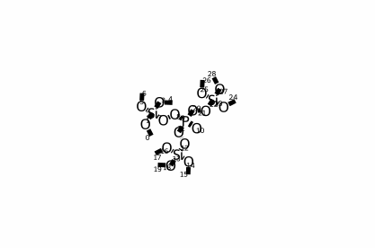 CO[Si](OC)(OC)OOP(=O)(OO[Si](OC)(OC)OC)OO[Si](OC)(OC)OC